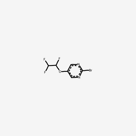 FC(F)C(F)Oc1cnc(Br)nc1